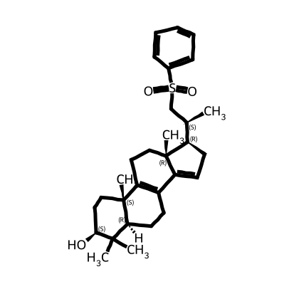 C[C@H](CS(=O)(=O)c1ccccc1)[C@H]1CC=C2C3=C(CC[C@@]21C)[C@@]1(C)CC[C@H](O)C(C)(C)[C@@H]1CC3